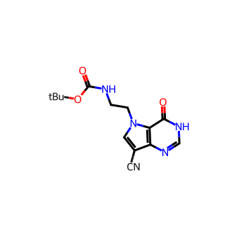 CC(C)(C)OC(=O)NCCn1cc(C#N)c2nc[nH]c(=O)c21